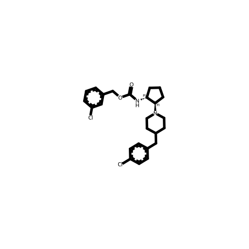 O=C(N[C@@H]1CCC[C@H]1N1CCC(Cc2ccc(Cl)cc2)CC1)OCc1cccc(Cl)c1